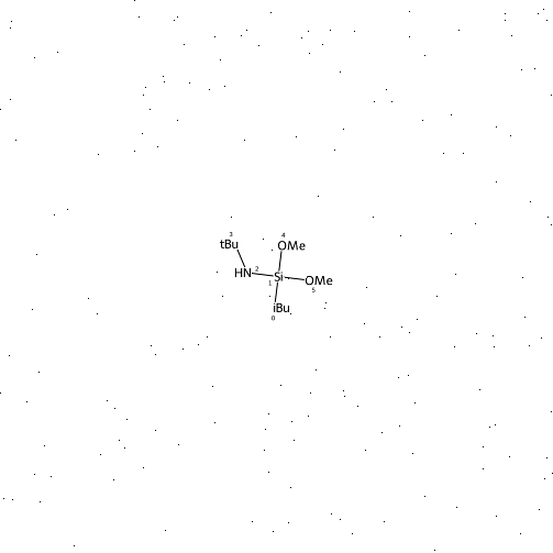 CCC(C)[Si](NC(C)(C)C)(OC)OC